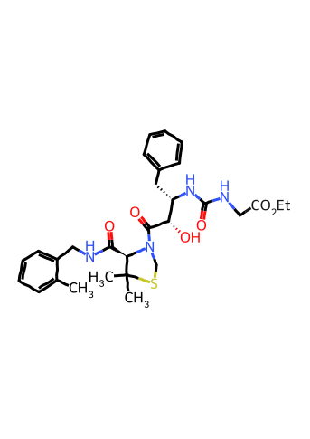 CCOC(=O)CNC(=O)N[C@@H](Cc1ccccc1)[C@H](O)C(=O)N1CSC(C)(C)[C@H]1C(=O)NCc1ccccc1C